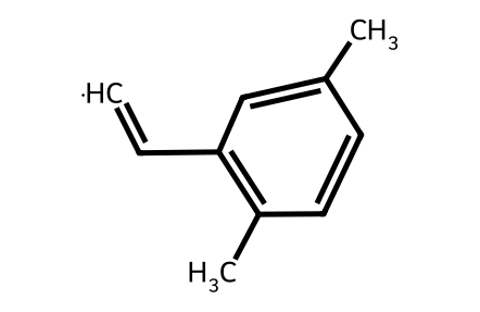 [CH]=Cc1cc(C)ccc1C